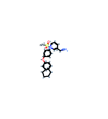 CCCS(=O)(=O)[N+]1(c2ccc(Oc3ccc4c(c3)CCCC4)cc2)C=C(CN)C=CC1